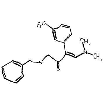 CN(C)C=C(C(=O)CSCc1ccccc1)c1cccc(C(F)(F)F)c1